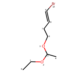 CCOC(C)OCCC=CBr